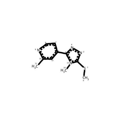 CSc1nnc(-c2ccnc(C)c2)n1C